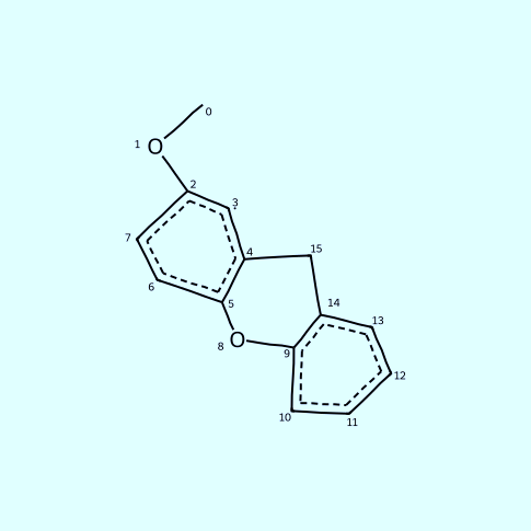 COc1[c]c2c(cc1)Oc1ccccc1C2